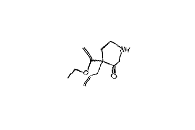 C=CCC1(C(=C)OCC)CCNCC1=O